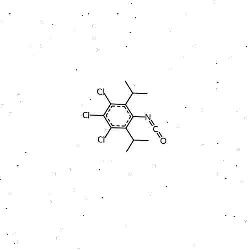 CC(C)c1c(Cl)c(Cl)c(Cl)c(C(C)C)c1N=C=O